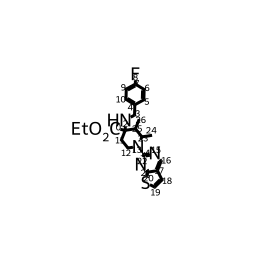 CCOC(=O)C1(NCc2ccc(F)cc2)CCN(c2ncc3ccsc3n2)C(C)C1C